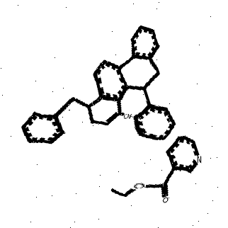 CCOC(=O)c1cccnc1.OC1=CCC(Cc2ccccc2)c2ccc3c(c21)C(c1ccccc1)Cc1ccccc1-3